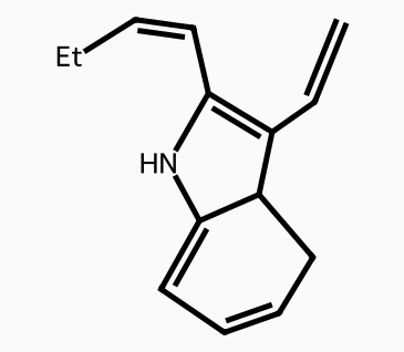 C=CC1=C(/C=C\CC)NC2=CC=CCC21